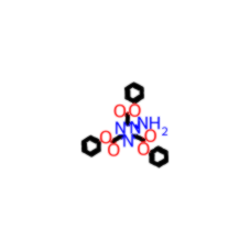 NN1C(C(=O)Oc2ccccc2)=NC(C(=O)Oc2ccccc2)=NC1C(=O)Oc1ccccc1